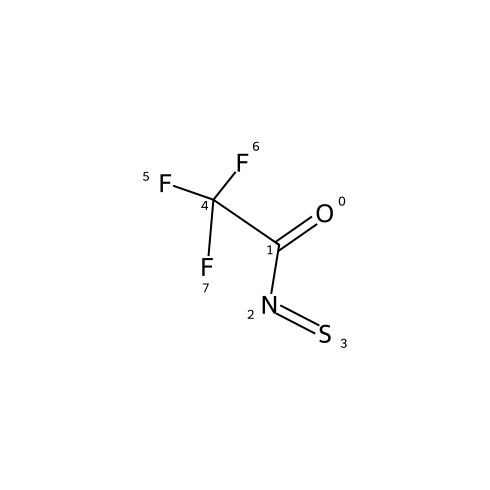 O=C(N=S)C(F)(F)F